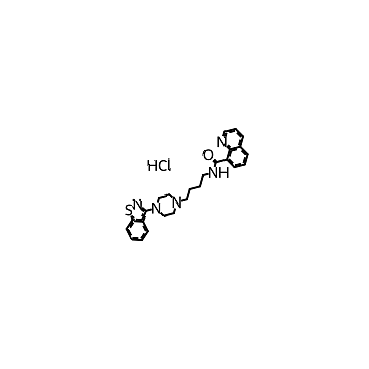 Cl.O=C(NCCCCN1CCN(c2nsc3ccccc23)CC1)c1cccc2cccnc12